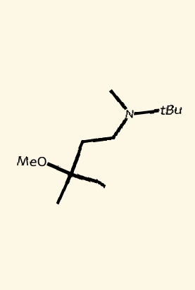 COC(C)(C)CCN(C)C(C)(C)C